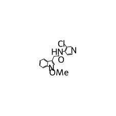 COn1cc(CC(=O)Nc2ccncc2Cl)c2ccccc21